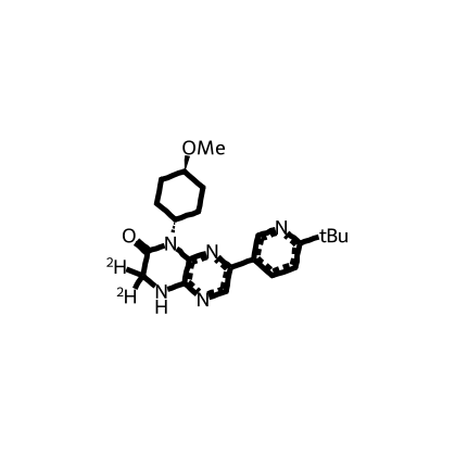 [2H]C1([2H])Nc2ncc(-c3ccc(C(C)(C)C)nc3)nc2N([C@H]2CC[C@H](OC)CC2)C1=O